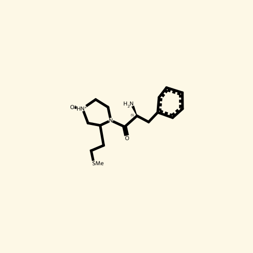 CSCCC1C[NH+]([O-])CCN1C(=O)[C@@H](N)Cc1ccccc1